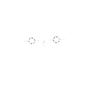 O=P(O)(OCc1ccc(Br)cc1)OCc1ccc(Br)cc1